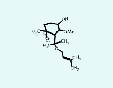 CC[C@@]1(C)CCC(O)C(OC)C1C(C)(C)OCC=C(C)C